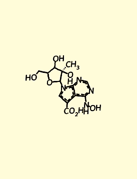 C[C@@]1(O)C(O)C(CO)OC1n1cc(C(=O)O)c2c(NO)ncnc21